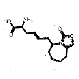 NC(CC=CCC1CCCCc2noc(=O)n21)C(=O)O